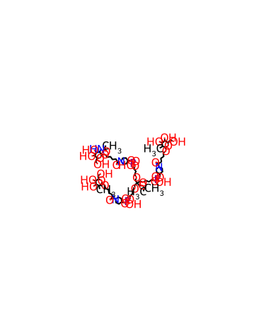 CC(=O)NC1C(OCCCCC(=O)N2CCC(OP(=O)(O)OCCCOCC(COCCCOP(=O)(O)OC3CCN(C(=O)CCCCOC4OC(CO)C(O)C(O)C4C)CC3)(COCCCOP(=O)(O)OC3CCN(C(=O)CCCCOC4OC(CO)C(O)C(O)C4C)CC3)COC(C)C)CC2)OC(CO)C(O)C1O